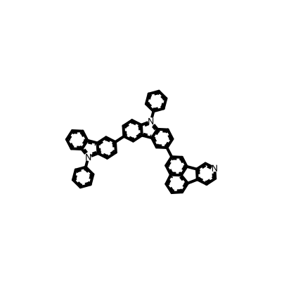 c1ccc(-n2c3ccccc3c3cc(-c4ccc5c(c4)c4cc(-c6cc7c8c(cccc8c6)-c6ccncc6-7)ccc4n5-c4ccccc4)ccc32)cc1